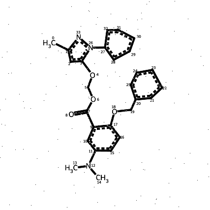 Cc1cc(OCOC(=O)c2cc(N(C)C)ccc2OCc2ccccc2)n(-c2ccccc2)n1